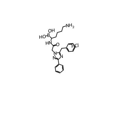 Cl.NCCCCC(NC(=O)Cn1nc(-c2ccccc2)nc1Cc1ccccc1)B(O)O